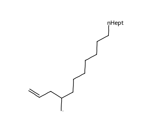 [CH2]C(CC=C)CCCCCCCCCCCCCC